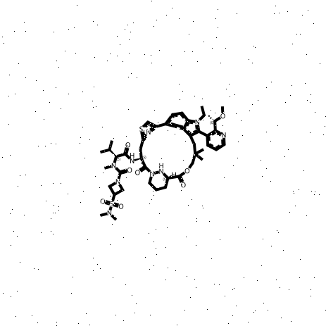 CCn1c(-c2cccnc2[C@H](C)OC)c2c3cc(ccc31)-c1csc(n1)C[C@H](NC(=O)[C@H](C(C)C)N(C)C(=O)N1CC(S(=O)(=O)N(C)C)C1)C(=O)N1CCC[C@H](N1)C(=O)OCC(C)(C)C2